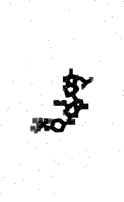 BC(B)(B)O[C@H]1CC[C@@H](Nc2nc(OC)c3c(-c4cnc5nc(C)n(CC(F)F)c5c4)c[nH]c3n2)CC1